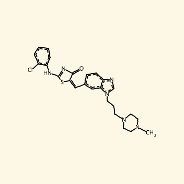 CN1CCN(CCCn2cnc3ccc(C=C4SC(Nc5ccccc5Cl)=NC4=O)cc32)CC1